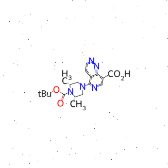 C[C@@H]1CN(c2ncc(C(=O)O)c3nnccc23)C[C@H](C)N1C(=O)OC(C)(C)C